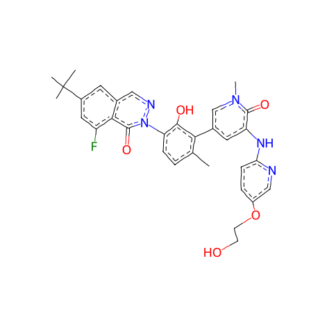 Cc1ccc(-n2ncc3cc(C(C)(C)C)cc(F)c3c2=O)c(O)c1-c1cc(Nc2ccc(OCCO)cn2)c(=O)n(C)c1